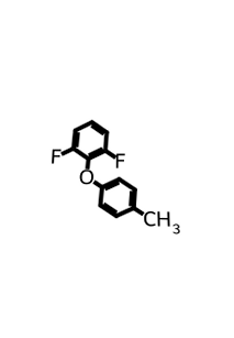 Cc1ccc(Oc2c(F)cccc2F)cc1